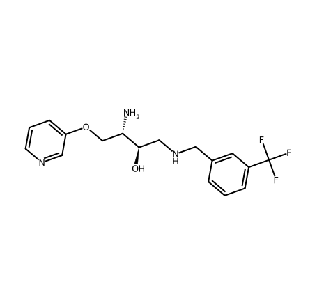 N[C@@H](COc1cccnc1)[C@H](O)CNCc1cccc(C(F)(F)F)c1